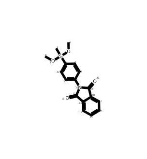 CO[Si](C)(OC)c1ccc(N2C(=O)c3ccccc3C2=O)cc1